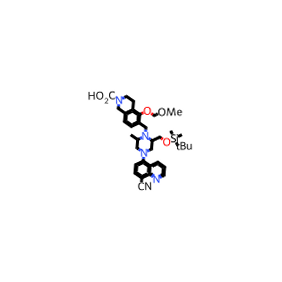 COCOc1c(CN2C(C)CN(c3ccc(C#N)c4ncccc34)CC2CO[Si](C)(C)C(C)(C)C)ccc2c1CCN(C(=O)O)C2